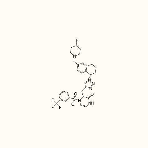 O=C1NC=CN(S(=O)(=O)c2cccc(C(F)(F)F)c2)C1Cc1cn([C@@H]2CCCc3cc(CN4CCC(F)CC4)ccc32)nn1